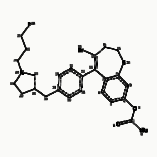 CC(C)(C)C(=O)Oc1ccc2c(c1)SCCC(Br)=C2c1ccc(CC2CCN(CCCF)C2)cc1